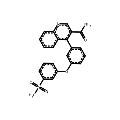 CS(=O)(=O)c1cccc(Oc2cccc(-c3c(C(N)=O)cnc4ccccc34)c2)c1